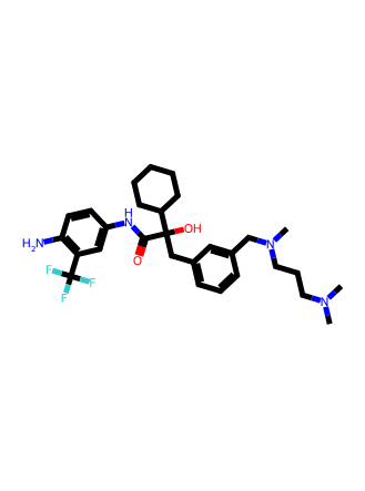 CN(C)CCCN(C)Cc1cccc(CC(O)(C(=O)Nc2ccc(N)c(C(F)(F)F)c2)C2CCCCC2)c1